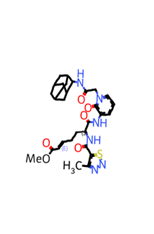 COC(=O)/C=C/CC[C@H](NC(=O)c1snnc1C)C(=O)Nc1cccn(CC(=O)NC2C3CC4CC(C3)CC2C4)c1=O